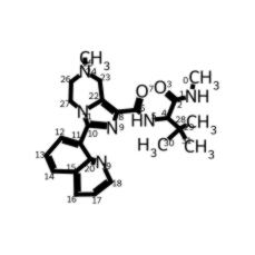 CNC(=O)C(NC(=O)c1nc(-c2cccc3cccnc23)n2c1CN(C)CC2)C(C)(C)C